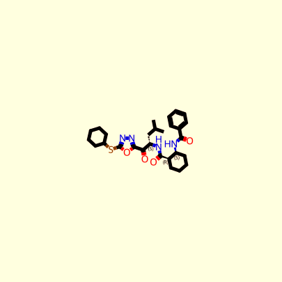 CC(C)C[C@H](NC(=O)[C@@H]1CCCC[C@@H]1NC(=O)c1ccccc1)C(=O)c1nnc(SC2CCCCC2)o1